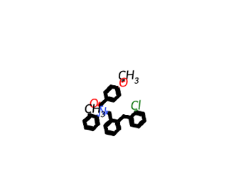 COc1ccc(C(=O)N(Cc2ccccc2Cc2ccccc2Cl)c2ccccc2C)cc1